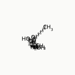 CCCCCCCCCCC(=O)Oc1cc(O)cc2c1[C@H]1CC[C@]3(C)[C@H](O)CC[C@H]3[C@@H]1CC2